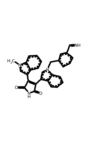 Cn1cc(C2=C(c3cn(Cc4cccc(C=N)c4)c4ccccc34)C(=O)NC2=O)c2ccccc21